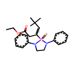 CCOC(=O)C/C(=C\C(C)(C)C)P1(=S)N(c2ccccc2)CCN1c1ccccc1